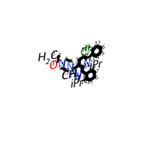 C=CC(=O)N1CCN(c2nnc(-c3c(C(C)C)cccc3C(C)C)c3nc(-c4ccccc4F)c(Cl)cc23)[C@@H](C)C1